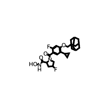 O=C(NO)C1CC(F)CN1C(=O)c1cc(C2CC2)c(OCC23CC4CC(CC(C4)C2)C3)cc1F